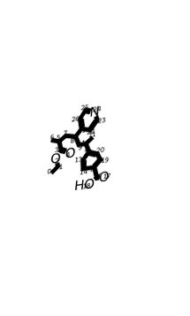 CCOC(=O)C(C)CC(CC(C)c1ccc(C(=O)O)cc1)c1ccncc1